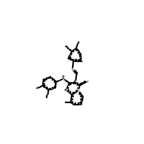 Cc1ccc(/N=C/c2c(Nc3ccc(C)c(C)c3)nc3c(C)cccn3c2=O)cc1C